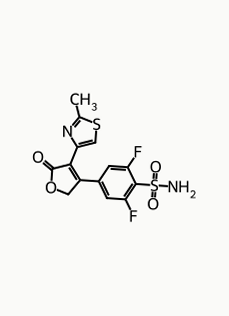 Cc1nc(C2=C(c3cc(F)c(S(N)(=O)=O)c(F)c3)COC2=O)cs1